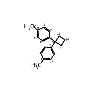 Cc1ccc(C2(c3ccc(C)cc3)[CH]CC2)cc1